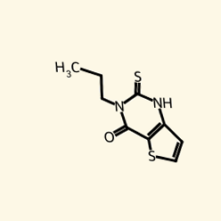 CCCn1c(=S)[nH]c2ccsc2c1=O